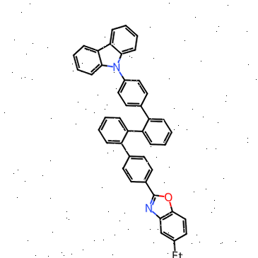 CCc1ccc2oc(-c3ccc(-c4ccccc4-c4ccccc4-c4ccc(-n5c6ccccc6c6ccccc65)cc4)cc3)nc2c1